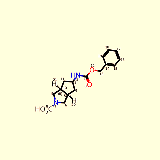 O=C(NC1C[C@@H]2CN(C(=O)O)C[C@@H]2C1)OCc1ccccc1